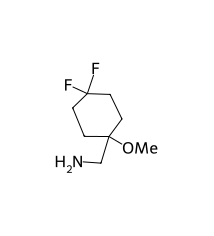 COC1(CN)CCC(F)(F)CC1